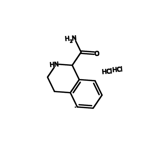 Cl.Cl.NC(=O)C1NCCc2[c]cccc21